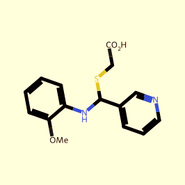 COc1ccccc1NC(SCC(=O)O)c1cccnc1